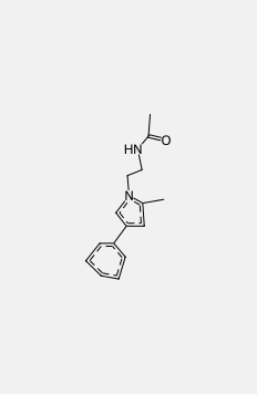 CC(=O)NCCn1cc(-c2ccccc2)cc1C